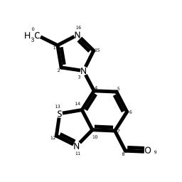 Cc1cn(-c2ccc(C=O)c3ncsc23)cn1